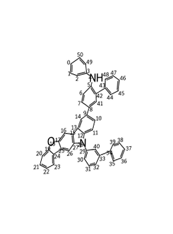 c1ccc(Nc2ccc(-c3ccc4c(c3)c3cc5oc6ccccc6c5cc3n4-c3cccc(-c4ccccc4)c3)cc2-c2ccccc2)cc1